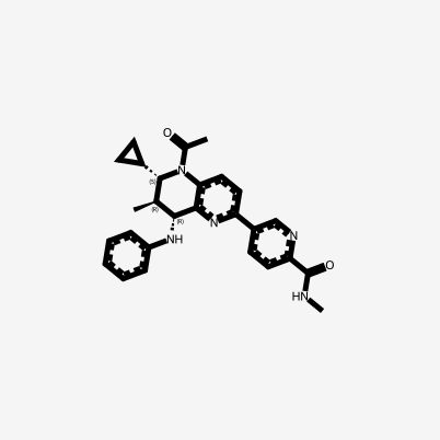 CNC(=O)c1ccc(-c2ccc3c(n2)[C@H](Nc2ccccc2)[C@@H](C)[C@H](C2CC2)N3C(C)=O)cn1